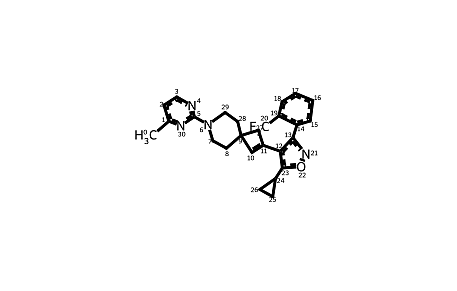 Cc1ccnc(N2CCC3(C=C(c4c(-c5ccccc5C(F)(F)F)noc4C4CC4)C3)CC2)n1